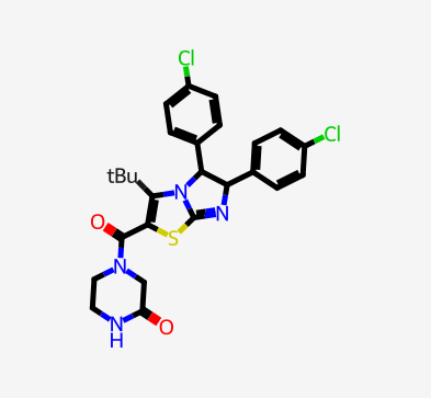 CC(C)(C)C1=C(C(=O)N2CCNC(=O)C2)SC2=NC(c3ccc(Cl)cc3)C(c3ccc(Cl)cc3)N21